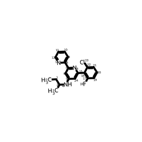 CCC(C)Nc1cc(-c2ccccn2)nc(-c2c(F)cccc2Cl)c1